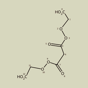 O=C(O)COOC(=O)CC(=O)OOCC(=O)O